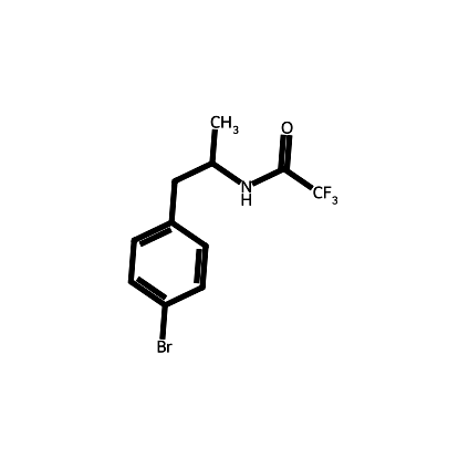 CC(Cc1ccc(Br)cc1)NC(=O)C(F)(F)F